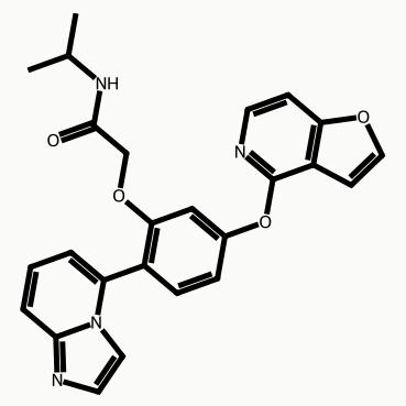 CC(C)NC(=O)COc1cc(Oc2nccc3occc23)ccc1-c1cccc2nccn12